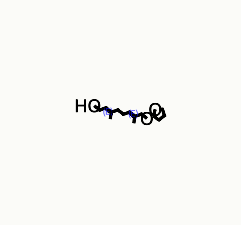 C/C(=C\CO)CC/C=C(\C)COC1CCCO1